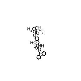 CC(C)(C)OC(=O)Oc1ccc(CC(NC(=O)OCC2c3ccccc3-c3ccccc32)C(=O)O)cc1